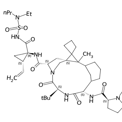 C=C[C@@H]1C[C@]1(NC(=O)[C@@H]1C[C@@]23CN1C(=O)[C@H](C(C)(C)C)NC(=O)[C@@H](NC(=O)[C@@H]1CCCN1CC)C1CCCC(C1)C2(C)C31CCC1)C(=O)NS(=O)(=O)N(CC)CCC